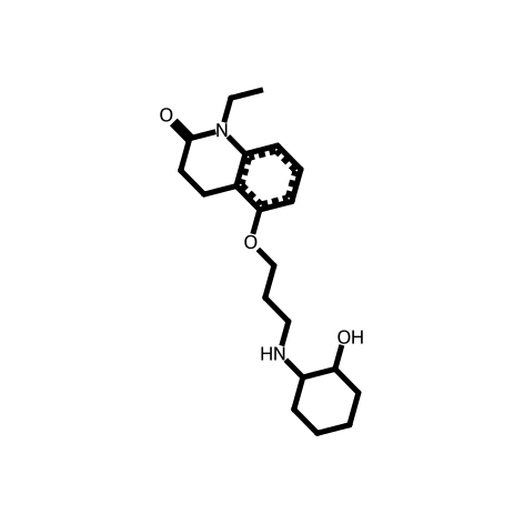 CCN1C(=O)CCc2c(OCCCNC3CCCCC3O)cccc21